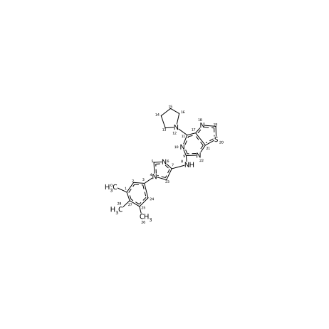 Cc1cc(-n2cnc(Nc3nc(N4CCCC4)c4ncsc4n3)c2)cc(C)c1C